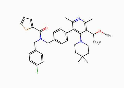 Cc1nc(C)c(C(OC(C)(C)C)C(=O)O)c(N2CCC(C)(C)CC2)c1-c1ccc(CN(Cc2ccc(F)cc2)C(=O)c2cccs2)cc1